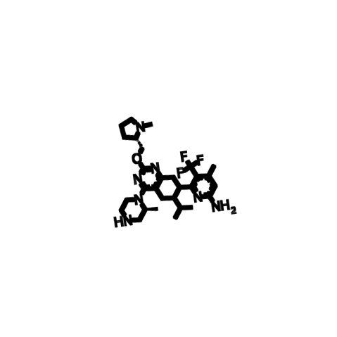 Cc1cc(N)nc(C2Cc3nc(OC[C@@H]4CCCN4C)nc(N4CCNC[C@@H]4C)c3CC2C(C)C)c1C(F)(F)F